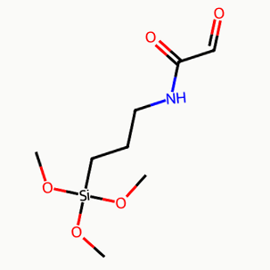 CO[Si](CCCNC(=O)C=O)(OC)OC